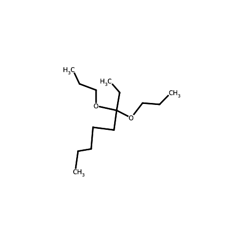 CCCCCC(CC)(OCCC)OCCC